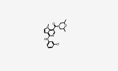 CC1CN(C(=O)c2cnc(Nc3cccc(Cl)c3)c3ccn(C)c23)CC(C)O1